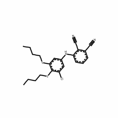 CCCCSc1cc(Nc2cccc(C#N)c2C#N)cc(Cl)c1SCCCC